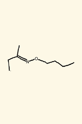 [CH2]CC(C)=NOCCCC